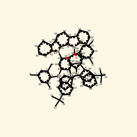 Cc1cc(C)c(B2c3cc(C(C)(C)C)ccc3N3c4ccc(C(C)(C)C)cc4B(c4c(C)cc(C)cc4C)c4cc(-n5c6ccccc6c6ccc7c8ccccc8n(-c8ccc(N(c9ccccc9)c9ccccc9)cc8)c7c65)cc2c43)c(C)c1